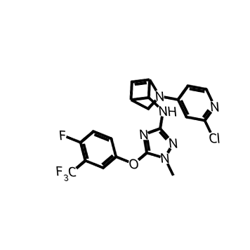 Cn1nc(NC2C3=CC2CN3c2ccnc(Cl)c2)nc1Oc1ccc(F)c(C(F)(F)F)c1